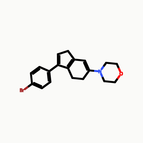 Brc1ccc(C2=CCC3=C2CCC(N2CCOCC2)=C3)cc1